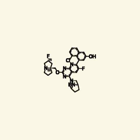 Oc1cc(-c2nc3nc(OC[C@@]45CCCN4C[C@H](F)C5)nc(N4CC5CCC(C4)N5)c3cc2F)c2c(Cl)cccc2c1